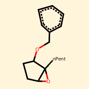 CCCCCC12OC1CCC2OCc1ccccc1